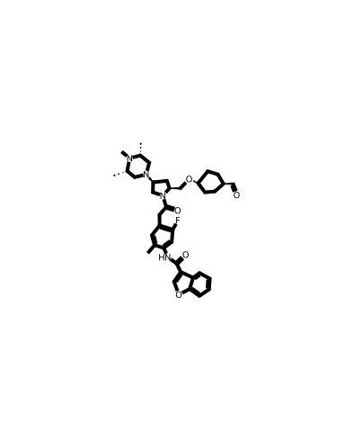 Cc1cc(CC(=O)N2C[C@@H](N3C[C@@H](C)N(C)[C@@H](C)C3)C[C@H]2CO[C@H]2CC[C@H](C=O)CC2)c(F)cc1NC(=O)c1coc2ccccc12